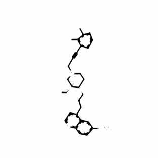 COc1ccc2nccc(CCC[C@@H]3CCN(CC#Cc4cccc(F)c4F)C[C@@H]3CC(=O)O)c2c1